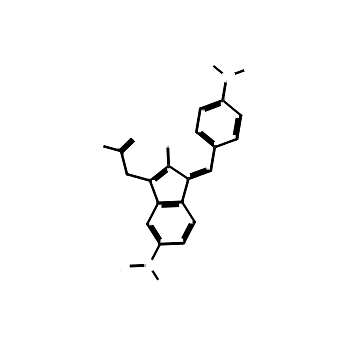 CC1=C(CC(=O)O)c2cc(N(C)C)ccc2/C1=C/c1ccc([S+](C)[O-])cc1